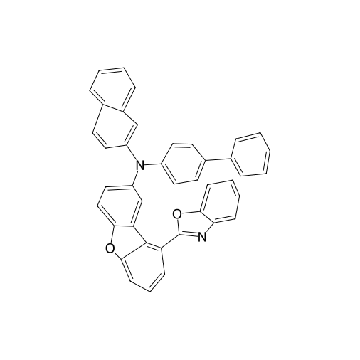 c1ccc(-c2ccc(N(c3ccc4ccccc4c3)c3ccc4oc5cccc(-c6nc7ccccc7o6)c5c4c3)cc2)cc1